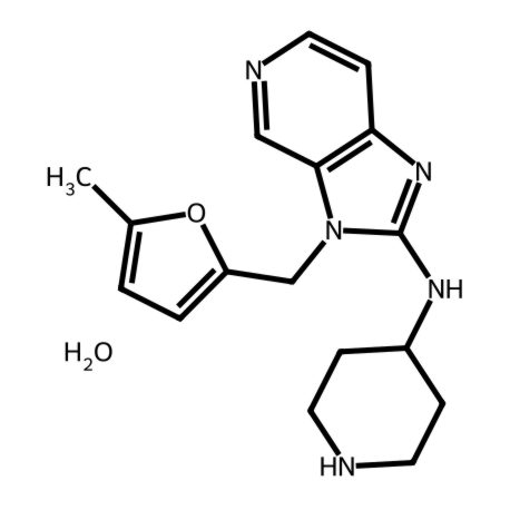 Cc1ccc(Cn2c(NC3CCNCC3)nc3ccncc32)o1.O